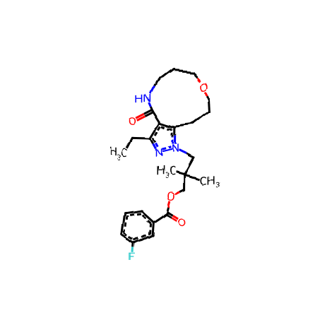 CCc1nn(CC(C)(C)COC(=O)c2cccc(F)c2)c2c1C(=O)NCCCOCCC2